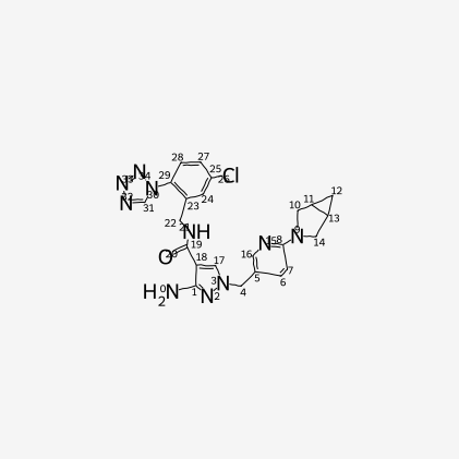 Nc1nn(Cc2ccc(N3CC4CC4C3)nc2)cc1C(=O)NCc1cc(Cl)ccc1-n1cnnn1